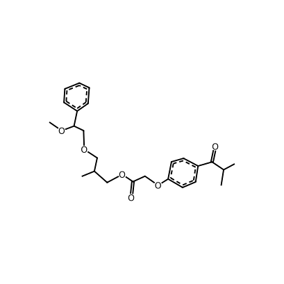 COC(COCC(C)COC(=O)COc1ccc(C(=O)C(C)C)cc1)c1ccccc1